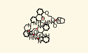 CNc1cc(NC(=O)CN2C3CCC2CC(OCCOc2cccc(-c4ccc(N5CCc6cccc(C(=O)Nc7nc8ccccc8s7)c6C5)nc4C(=O)O)c2C)C3)ccc1C(=N)C1CCC(=O)NC1=O